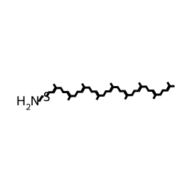 CC(C)=CCCC(C)=CCCC(C)=CCCC(C)=CCCC(C)=CCCC(C)=CCCC(C)=CCCC(C)=CCCC(C)=CCSCCN